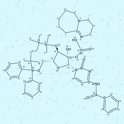 C1CCC2=NCCCN2CC1.CC(C)(C)[Si](C)(C)O[C@@H]1[C@@H](CO[Si](c2ccccc2)(c2ccccc2)C(C)(C)C)O[C@@H](n2ccc(NC(=O)c3ccccc3)nc2=O)[C@]1(O)O[PH](=O)O